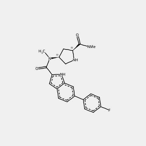 CNC(=O)[C@@H]1C[C@H](N(C)C(=O)c2cc3ccc(-c4ccc(F)cc4)cc3[nH]2)CN1